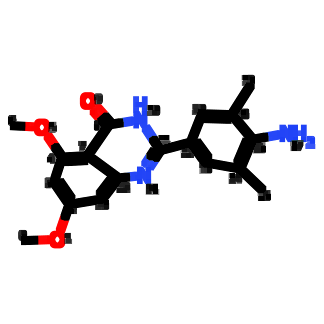 COc1cc(OC)c2c(=O)[nH]c(-c3cc(C)c(N)c(C)c3)nc2c1